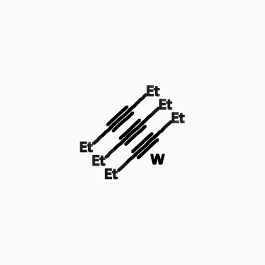 CCC#CCC.CCC#CCC.CCC#CCC.[W]